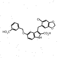 O=C(O)c1cccc(COc2ccc3[nH]c(C(=O)O)c(Cc4cc5c(cc4Cl)OCO5)c3c2)c1